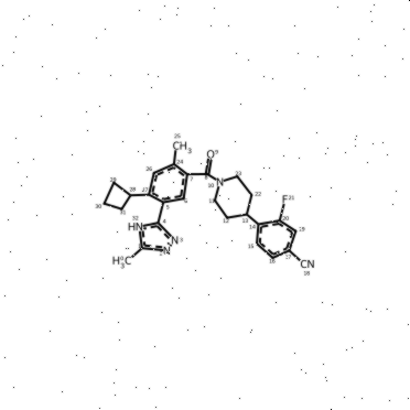 Cc1nnc(-c2cc(C(=O)N3CCC(c4ccc(C#N)cc4F)CC3)c(C)cc2C2CCC2)[nH]1